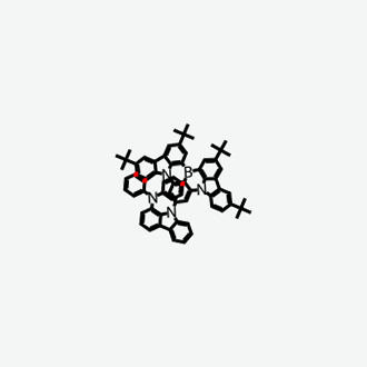 CC(C)(C)c1ccc2c(c1)c1cc(C(C)(C)C)cc3c1n2-c1cc(-n2c4ccccc4c4cccc(N(c5ccccc5)c5ccccc5)c42)cc2c1B3c1cc(C(C)(C)C)cc3c4cc(C(C)(C)C)ccc4n-2c13